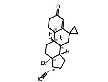 C#C[C@H]1CC[C@H]2[C@@H]3CC4(CC4)C4=CC(=O)CC[C@@H]4[C@H]3CC[C@]12CC